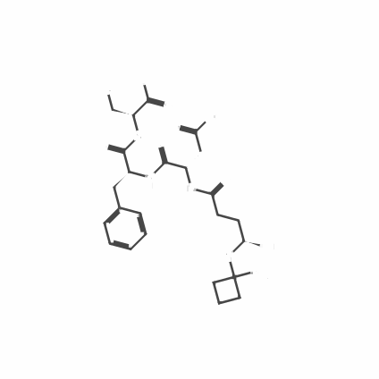 BC1(N[C@H](C)CCC(=O)N[C@@H](CC(=O)O)C(=O)N[C@@H](Cc2ccccc2)C(=O)N[C@@H](CS)C(=O)O)CCC1